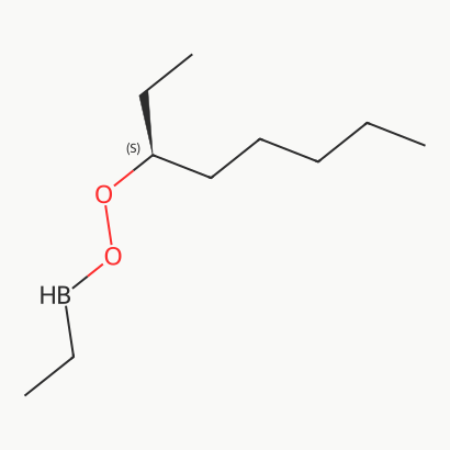 CCBOO[C@@H](CC)CCCCC